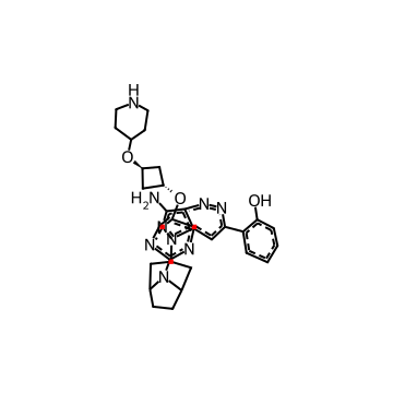 Nc1nn(C2CC3CCC(C2)N3c2ncc(O[C@H]3C[C@H](OC4CCNCC4)C3)cn2)c2cc(-c3ccccc3O)nnc12